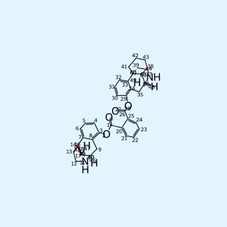 O=C(Oc1cccc2c1C[C@H]1NCC[C@@]23CCCC[C@@H]13)c1ccccc1C(=O)Oc1cccc2c1C[C@H]1NCC[C@@]23CCCC[C@@H]13